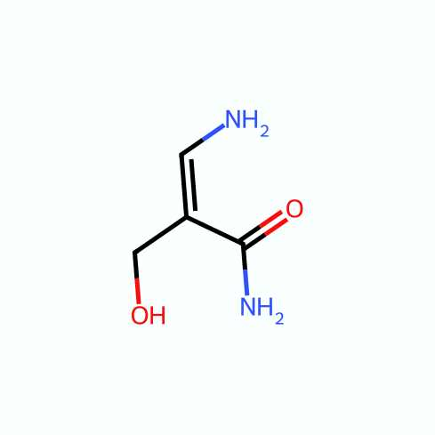 NC=C(CO)C(N)=O